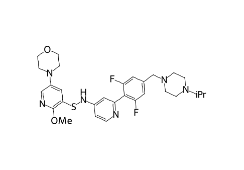 COc1ncc(N2CCOCC2)cc1SNc1ccnc(-c2c(F)cc(CN3CCN(C(C)C)CC3)cc2F)c1